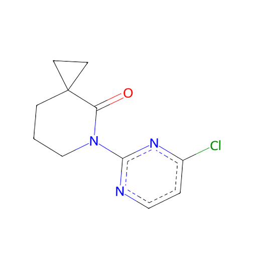 O=C1N(c2nccc(Cl)n2)CCCC12CC2